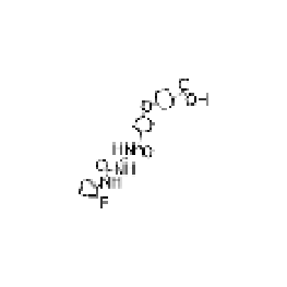 O=C(NCCNC(=O)c1ccc(O[C@H]2CC[C@@H](C(=O)O)CC2)cc1)Nc1ccccc1F